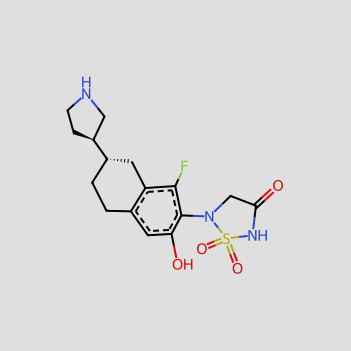 O=C1CN(c2c(O)cc3c(c2F)C[C@@H]([C@H]2CCNC2)CC3)S(=O)(=O)N1